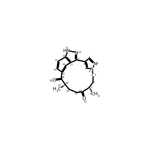 C[C@@H]1CCn2cc(cn2)-c2n[nH]c3ccc(cc23)C(=O)[C@H](C)CCC1=O